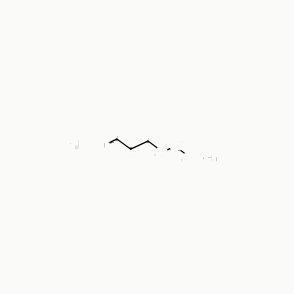 CCCCCCCCSSCCCCC